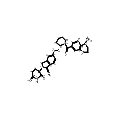 CN1CCOc2cc(C(=O)N3CCCC[C@H]3COc3ccc4c(c3)CN(C3CCC(=O)NC3=O)C4=O)cnc21